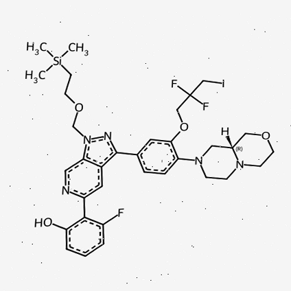 C[Si](C)(C)CCOCn1nc(-c2ccc(N3CCN4CCOC[C@H]4C3)c(OCC(F)(F)CI)c2)c2cc(-c3c(O)cccc3F)ncc21